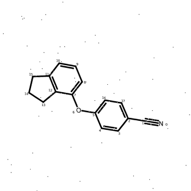 N#Cc1ccc(Oc2cccc3c2CCC3)cc1